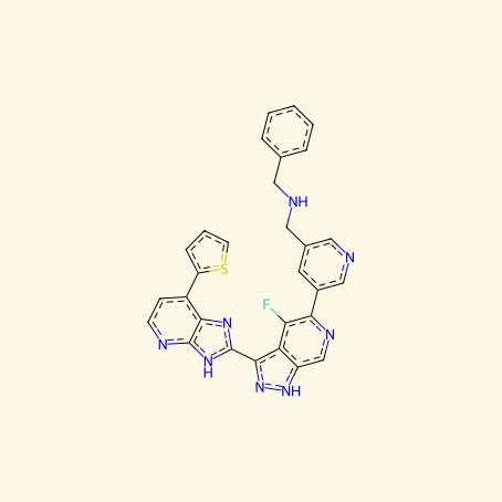 Fc1c(-c2cncc(CNCc3ccccc3)c2)ncc2[nH]nc(-c3nc4c(-c5cccs5)ccnc4[nH]3)c12